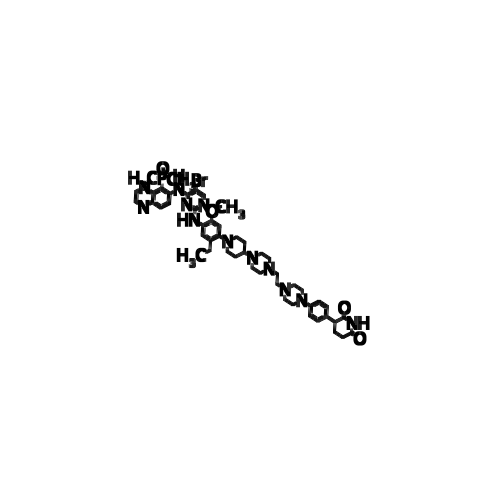 CCc1cc(Nc2ncc(Br)c(Nc3ccc4nccnc4c3P(C)(C)=O)n2)c(OC)cc1N1CCC(N2CCN(CCN3CCN(c4ccc(C5CCC(=O)NC5=O)cc4)CC3)CC2)CC1